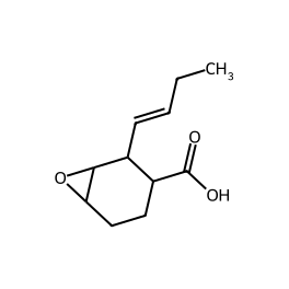 CCC=CC1C(C(=O)O)CCC2OC21